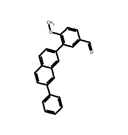 COc1ccc(C=O)cc1-c1ccc2ccc(-c3ccccc3)cc2c1